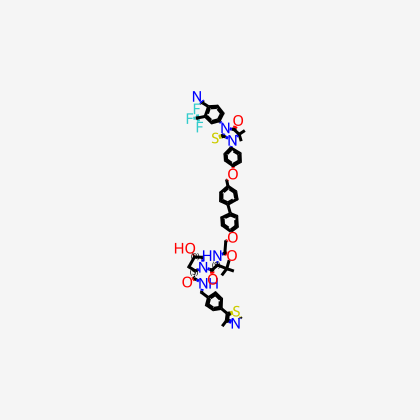 Cc1ncsc1-c1ccc(CNC(=O)[C@@H]2C[C@@H](O)CN2C(=O)[C@@H](NC(=O)COc2ccc(-c3ccc(COc4ccc(N5C(=S)N(c6ccc(C#N)c(C(F)(F)F)c6)C(=O)C5(C)C)cc4)cc3)cc2)C(C)(C)C)cc1